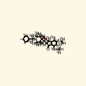 [2H]c1c(OC([2H])([2H])[2H])c(OC([2H])([2H])[2H])c([2H])c2c1C(=O)C([2H])(C([2H])([2H])C1([2H])C([2H])([2H])C([2H])([2H])N(C([2H])([2H])c3ccccc3)C([2H])([2H])C1([2H])[2H])C2([2H])[2H]